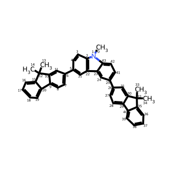 Cn1c2ccc(-c3ccc4c(c3)C(C)(C)c3ccccc3-4)cc2c2cc(-c3ccc4c(c3)C(C)(C)c3ccccc3-4)ccc21